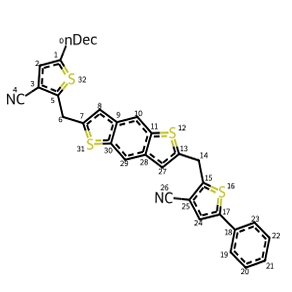 CCCCCCCCCCc1cc(C#N)c(Cc2cc3cc4sc(Cc5sc(-c6ccccc6)cc5C#N)cc4cc3s2)s1